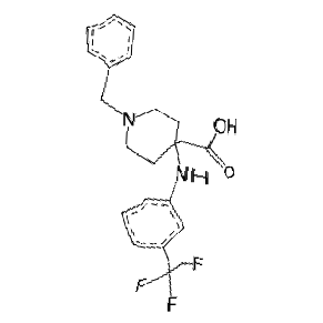 O=C(O)C1(Nc2cccc(C(F)(F)F)c2)CCN(Cc2ccccc2)CC1